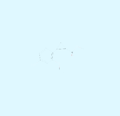 COC(=O)C1CC1c1ccc(O)cc1OC